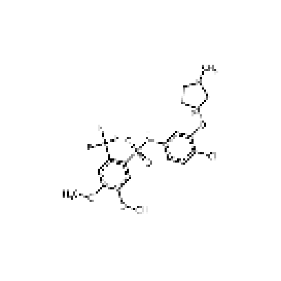 COc1cc(C(F)(F)F)c(S(=O)(=O)Nc2ccc(Cl)c(O[C@@H]3CCN(C)C3)c2)cc1OC